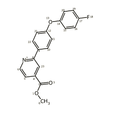 COC(=O)c1ccnc(-c2ccc(Oc3ccc(F)cc3)cc2)c1